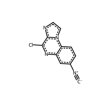 [C-]#[N+]c1ccc2c(c1)nc(Cl)c1nccn12